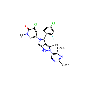 COc1ncc(N2NC3=CN(c4cc(Cl)c(=O)n(C)c4)C(c4ccc(Cl)cc4F)C3=C2C(C)C)c(OC)n1